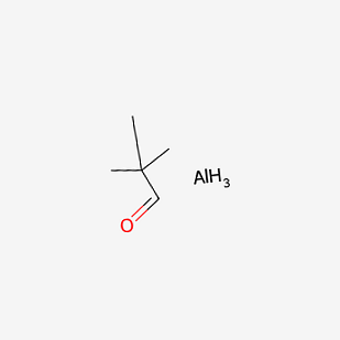 CC(C)(C)C=O.[AlH3]